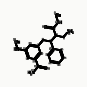 CC(C)(C)NC(=O)C(CN)C(Cc1cc(NC(C)(C)C)cc(C(N)=O)c1)c1ccccc1